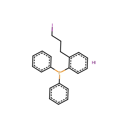 I.ICCCc1ccccc1P(c1ccccc1)c1ccccc1